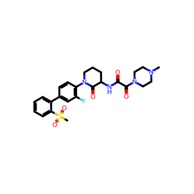 CN1CCN(C(=O)C(=O)NC2CCCN(c3ccc(-c4ccccc4S(C)(=O)=O)cc3F)C2=O)CC1